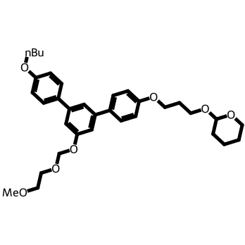 CCCCOc1ccc(-c2cc(OCOCCOC)cc(-c3ccc(OCCCOC4CCCCO4)cc3)c2)cc1